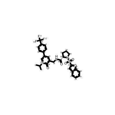 CC(C)n1cc(-c2ccc(C(F)(F)F)cc2)cc(CNC(=O)[C@@H]2CCCN2S(=O)(=O)c2cc3ccccc3o2)c1=O